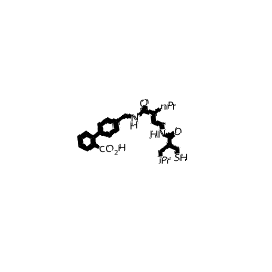 CCCC(CCNC(=O)C(CS)CC(C)C)C(=O)NCc1ccc(-c2ccccc2C(=O)O)cc1